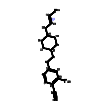 N#Cc1ccc(CCC2CCC(C/C=C/F)CC2)cc1F